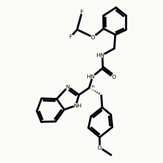 COc1ccc(C[C@@H](NC(=O)NCc2ccccc2OC(F)F)c2nc3ccccc3[nH]2)cc1